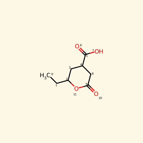 CCC1CC(C(=O)O)CC(=O)O1